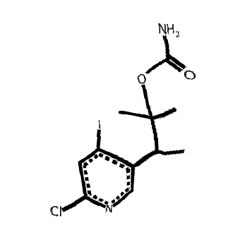 CC(c1cnc(Cl)cc1I)C(C)(C)OC(N)=O